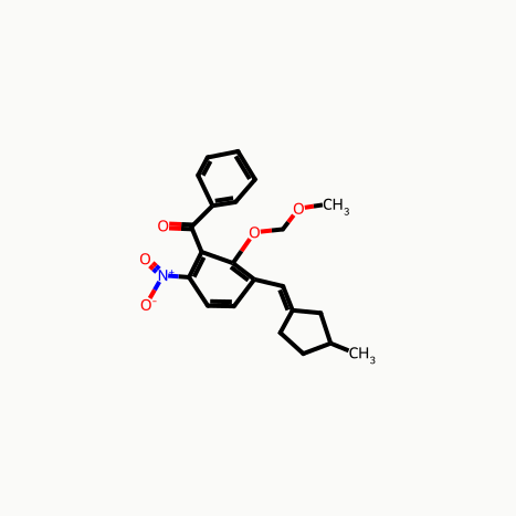 COCOc1c(/C=C2\CCC(C)C2)ccc([N+](=O)[O-])c1C(=O)c1ccccc1